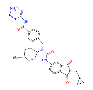 C/N=C(\N=N/N)NC(=O)c1ccc(CN(C(=O)Nc2ccc3c(c2)C(=O)N(CC2CC2)C3=O)C2CCC(C(C)(C)C)CC2)cc1